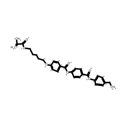 C=C(C)C(=O)OCCCCCOc1ccc(C(=O)Oc2ccc(C(=O)Oc3ccc(CC)cc3)cc2)cc1